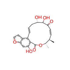 C[C@@H]1/C=C\C(=O)C(O)[C@@H](O)C/C=C/c2c(c(O)cc3occc23)C(=O)O[C@H]1C